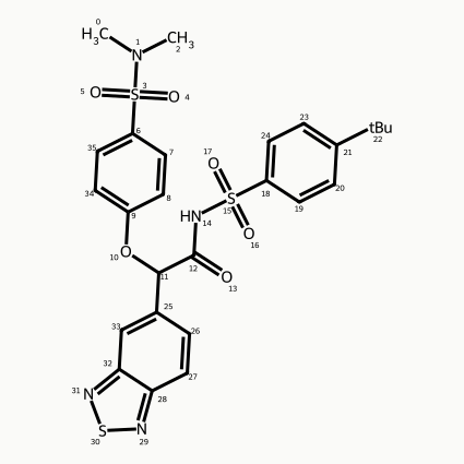 CN(C)S(=O)(=O)c1ccc(OC(C(=O)NS(=O)(=O)c2ccc(C(C)(C)C)cc2)c2ccc3nsnc3c2)cc1